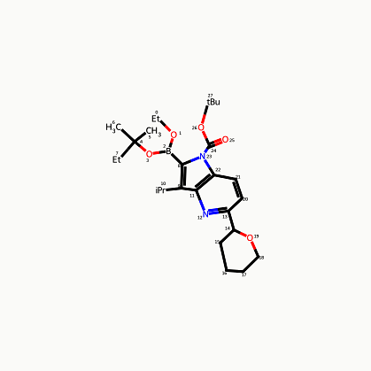 CCOB(OC(C)(C)CC)c1c(C(C)C)c2nc(C3CCCCO3)ccc2n1C(=O)OC(C)(C)C